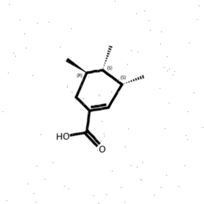 C[C@@H]1[C@H](C)C=C(C(=O)O)C[C@H]1C